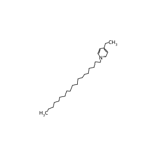 CCCCCCCCCCCCCCCCCCC[n+]1ccc(CC)cc1